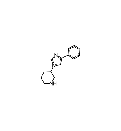 c1ccc(-c2cn(C3CCCNC3)cn2)cc1